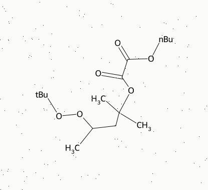 CCCCOC(=O)C(=O)OC(C)(C)CC(C)OOC(C)(C)C